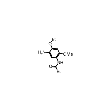 CCOc1cc(OC)c(NC(=O)CC)cc1N